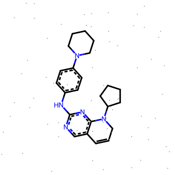 C1=Cc2cnc(Nc3ccc(N4CCCCC4)cc3)nc2N(C2CCCC2)C1